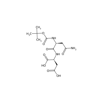 CC(C)(C)OC(=O)N[C@@H](CC(N)=O)C(=O)N[C@@H](CC(=O)O)C(=O)O